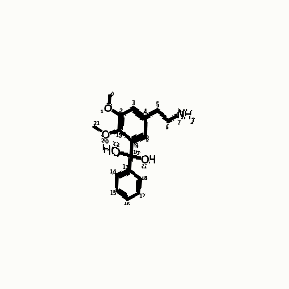 COc1cc(CCN)cc(C(O)(O)c2ccccc2)c1OC